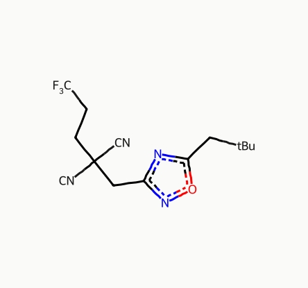 [C-]#[N+]C(C#N)(CCC(F)(F)F)Cc1noc(CC(C)(C)C)n1